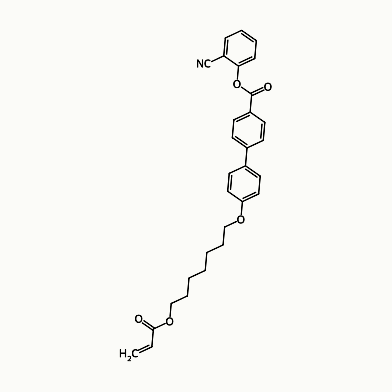 C=CC(=O)OCCCCCCCOc1ccc(-c2ccc(C(=O)Oc3ccccc3C#N)cc2)cc1